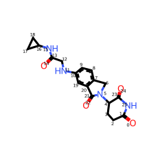 O=C1CCC(N2Cc3ccc(NCC(=O)NC4CC4)cc3C2=O)C(=O)N1